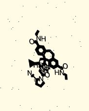 CCNC(=O)c1ccc2c(c1)CCc1cc(C(=O)NCC)ccc1C2(C[C@@H](NCC(=O)N1CCC[C@H]1C#N)C1CC1)c1nnn[nH]1